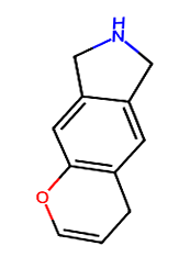 C1=COc2cc3c(cc2C1)CNC3